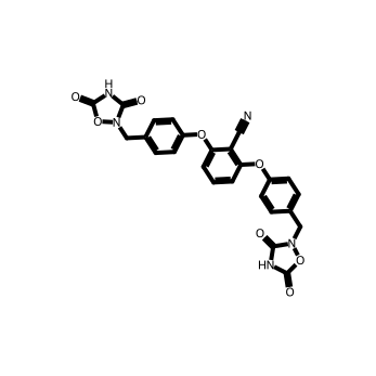 N#Cc1c(Oc2ccc(Cn3oc(=O)[nH]c3=O)cc2)cccc1Oc1ccc(Cn2oc(=O)[nH]c2=O)cc1